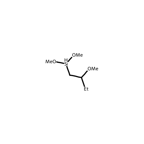 CCC(C[SiH](OC)OC)OC